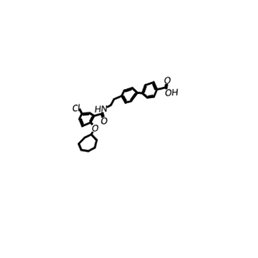 O=C(O)c1ccc(-c2ccc(CCNC(=O)c3cc(Cl)ccc3OC3CCCCCC3)cc2)cc1